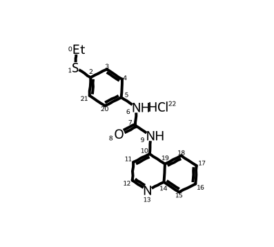 CCSc1ccc(NC(=O)Nc2ccnc3ccccc23)cc1.Cl